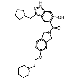 O=C(c1cc2c(CN3CCCC3)n[nH]c2cc1O)N1Cc2ccc(OCCN3CCCCC3)cc2C1